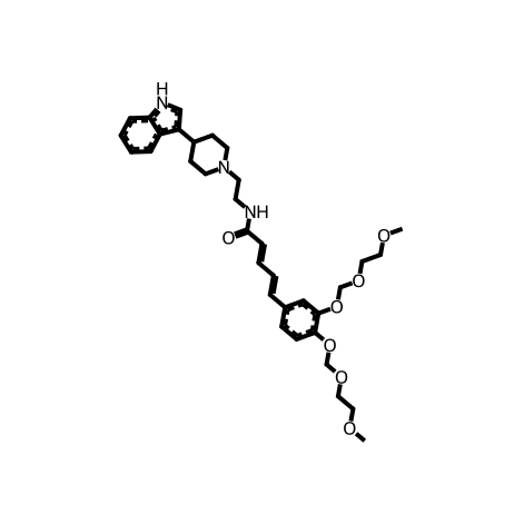 COCCOCOc1ccc(C=CC=CC(=O)NCCN2CCC(c3c[nH]c4ccccc34)CC2)cc1OCOCCOC